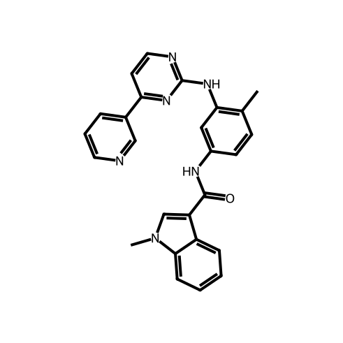 Cc1ccc(NC(=O)c2cn(C)c3ccccc23)cc1Nc1nccc(-c2cccnc2)n1